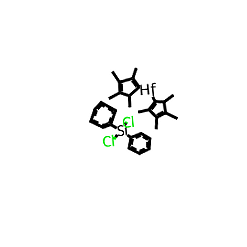 CC1=C(C)C(C)[C]([Hf][C]2=C(C)C(C)=C(C)C2C)=C1C.Cl[Si](Cl)(c1ccccc1)c1ccccc1